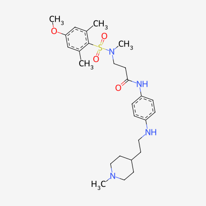 COc1cc(C)c(S(=O)(=O)N(C)CCC(=O)Nc2ccc(NCCC3CCN(C)CC3)cc2)c(C)c1